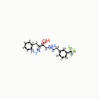 N[C@@H](Cc1ccccc1)[C@H](O)CNCCc1cccc(C(F)(F)F)c1